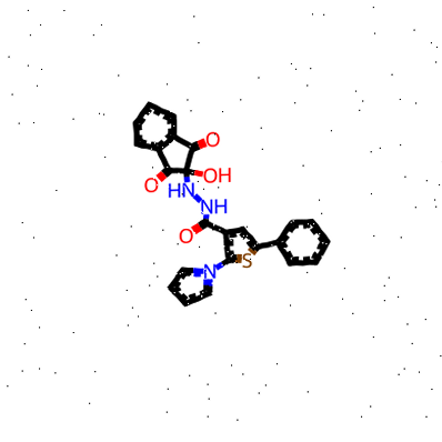 O=C(NNC1(O)C(=O)c2ccccc2C1=O)c1cc(-c2ccccc2)sc1-n1cccc1